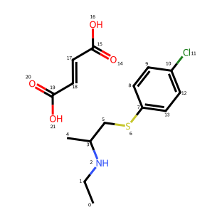 CCNC(C)CSc1ccc(Cl)cc1.O=C(O)C=CC(=O)O